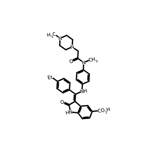 CCc1ccc(C(Nc2ccc(N(C)C(=O)CN3CCN(C)CC3)cc2)=C2C(=O)Nc3ccc(C(=O)O)cc32)cc1